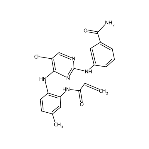 C=CC(=O)Nc1cc(C)ccc1Nc1nc(Nc2cccc(C(N)=O)c2)ncc1Cl